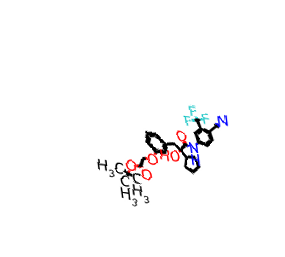 CC(C)(C)OC(=O)COc1cccc(CC(O)(C(=O)Nc2ccc(C#N)c(C(F)(F)F)c2)C2CCCC2)c1